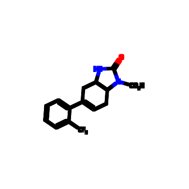 O=C(O)N1C(=O)NC2CC(c3ccccc3C(F)(F)F)=CCC21